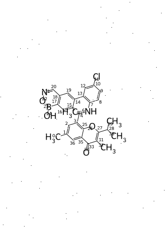 Cc1cc([C@@H](C)Nc2ccc(Cl)cc2-c2ccc3c(c2)C=NOB3O)c2oc(C(C)C)c(C)c(=O)c2c1